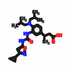 CC(C)CN(CC(C)C)c1ccc(C(C)CC(=O)O)cc1NC(=O)Nc1cc(C2CC2)no1